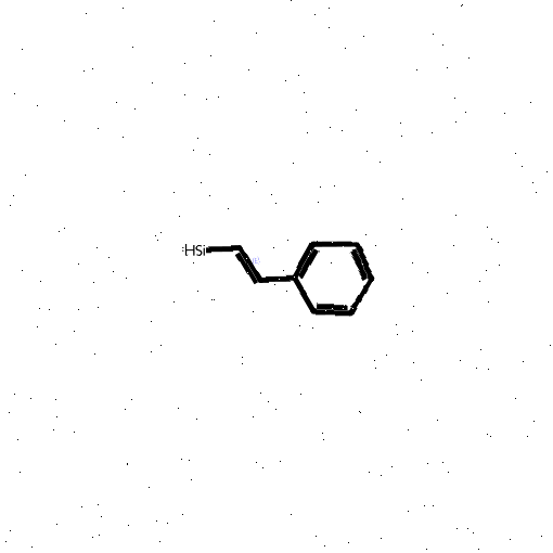 [SiH]/C=C/c1ccccc1